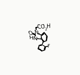 O=C(O)Cn1c(=O)[nH]c2c(-c3ccccc3F)cccc21